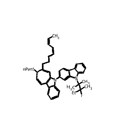 C/C=C\C=C/CCCC1=Cc2c(c3ccccc3n2-c2ccc3c4ccccc4n(C(C)(C)C(C)(I)CC)c3c2)C=CC1CCCCC